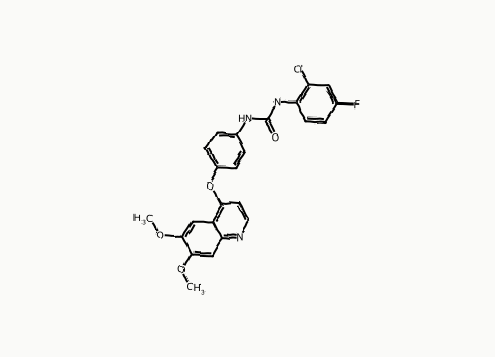 COc1cc2nccc(Oc3ccc(NC(=O)[N]c4ccc(F)cc4Cl)cc3)c2cc1OC